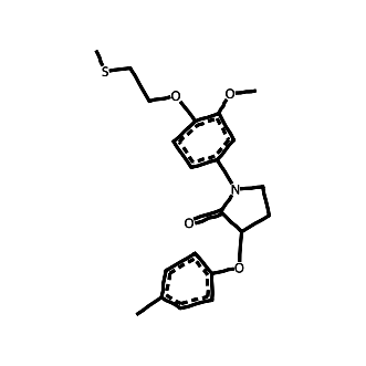 COc1cc(N2CCC(Oc3ccc(C)cc3)C2=O)ccc1OCCSC